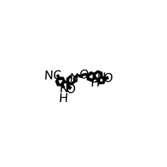 N#Cc1ccc2c(c1)C1(CCN(CCOc3ccc4c(c3)CCN3C(=O)CC[C@H]43)CC1)C(=O)N2